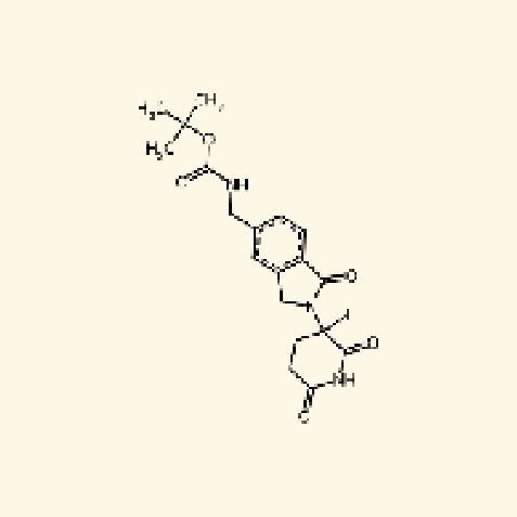 CC(C)(C)OC(=O)NCc1ccc2c(c1)CN(C1(I)CCC(=O)NC1=O)C2=O